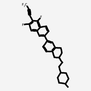 CC1CCC(CCC2CCc3cc(-c4ccc5c(F)c(C#CC(F)(F)F)c(F)cc5c4)ccc3C2)CC1